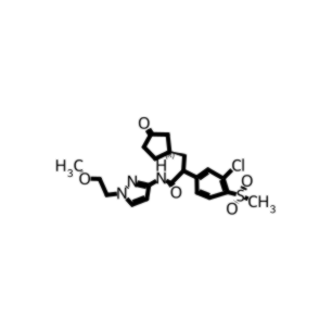 COCCn1ccc(NC(=O)C(C[C@H]2CCC(=O)C2)c2ccc(S(C)(=O)=O)c(Cl)c2)n1